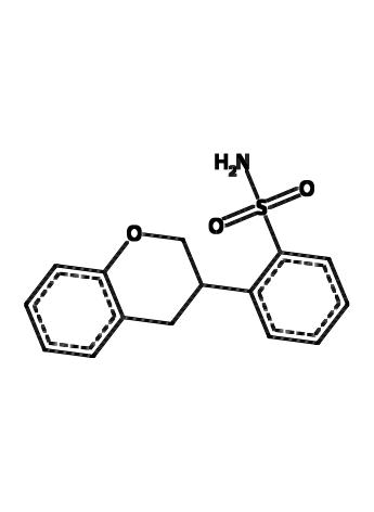 NS(=O)(=O)c1ccccc1C1COc2ccccc2C1